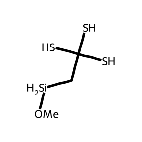 CO[SiH2]CC(S)(S)S